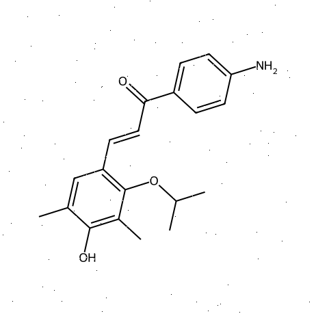 Cc1cc(C=CC(=O)c2ccc(N)cc2)c(OC(C)C)c(C)c1O